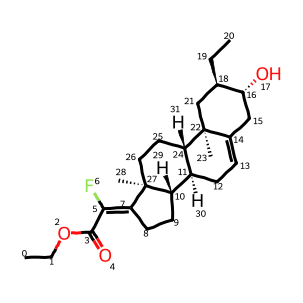 CCOC(=O)C(F)=C1CC[C@H]2[C@@H]3CC=C4C[C@@H](O)[C@H](CC)C[C@]4(C)[C@H]3CC[C@]12C